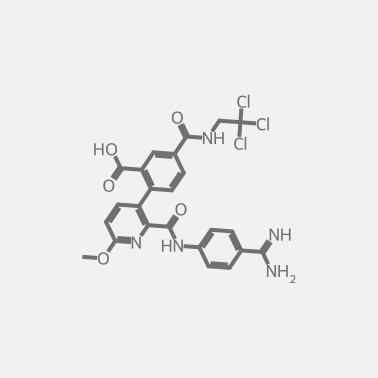 COc1ccc(-c2ccc(C(=O)NCC(Cl)(Cl)Cl)cc2C(=O)O)c(C(=O)Nc2ccc(C(=N)N)cc2)n1